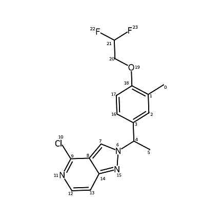 Cc1cc(C(C)n2cc3c(Cl)nccc3n2)ccc1OCC(F)F